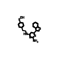 Nc1nc(NCCc2ccc(SO)cc2)cc(-c2csc3ccccc23)n1